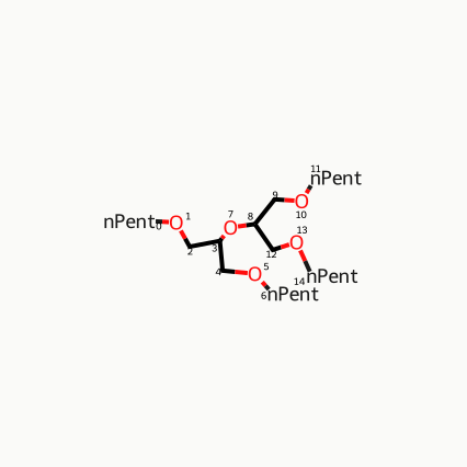 CCCCCOCC(COCCCCC)OC(COCCCCC)COCCCCC